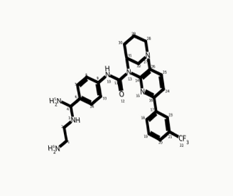 NCCNC(N)c1ccc(NC(=O)N2c3nc(-c4cccc(C(F)(F)F)c4)ccc3N3CCCC2C3)cc1